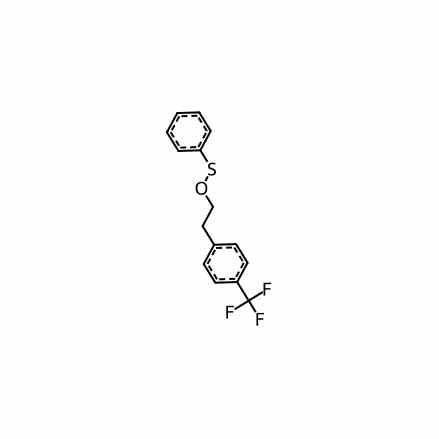 FC(F)(F)c1ccc(CCOSc2ccccc2)cc1